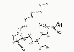 CCCCCCC=C[C@H]1CCC(=O)[C@@H]1CCC(CC)CCC(O)C(=O)O